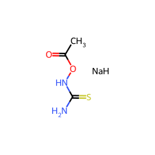 CC(=O)ONC(N)=S.[NaH]